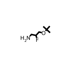 CC(C)(C)OCC(F)CN